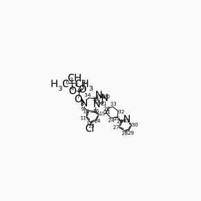 CC(C)(C)OC(=O)ON1Cc2cc(Cl)ccc2-n2c(nnc2[C@H]2CC[C@H](c3ccccn3)CC2)C1